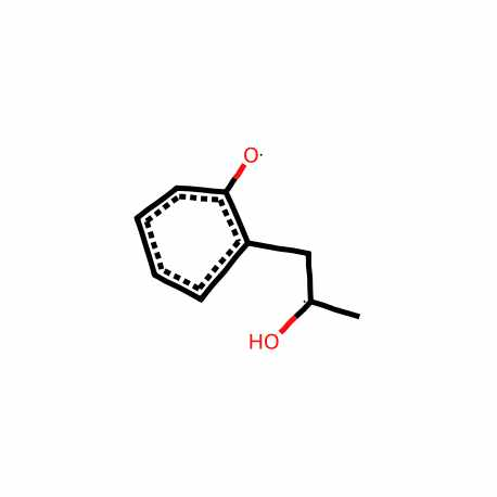 C[C](O)Cc1ccccc1[O]